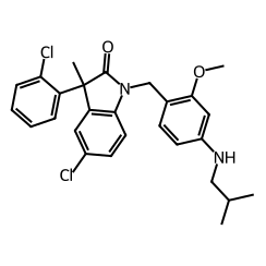 COc1cc(NCC(C)C)ccc1CN1C(=O)C(C)(c2ccccc2Cl)c2cc(Cl)ccc21